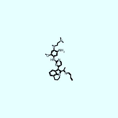 C=C/C=C\N=C(/C)c1c(-c2ccnc(Nc3cc(N)c(N(C)CCN(C)C)cc3OC)n2)c2cccc3c2n1CCC3